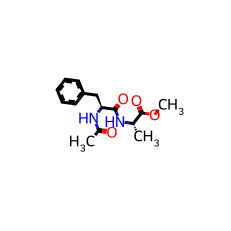 COC(=O)[C@H](C)NC(=O)[C@H](Cc1ccccc1)NC(C)=O